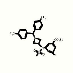 CCOC(=O)c1cc(F)cc(N(C2CN(C(c3ccc(C(F)(F)F)cc3)c3ccc(C(F)(F)F)cc3)C2)S(C)(=O)=O)c1